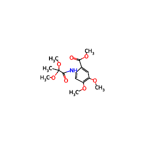 COC(=O)c1cc(OC)c(OC)cc1NC(=O)C(C)(OC)OC